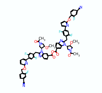 CO[C@H]1CN(C(C)=O)C[C@@H]1n1c(Cc2cc(F)c(-c3cccc(OCc4ccc(C#N)cc4F)n3)cc2F)nc2ccc(C(=O)OC(=O)c3ccc4nc(Cc5cc(F)c(-c6cccc(OCc7ccc(C#N)cc7F)n6)cc5F)n([C@H]5CN(C(C)=O)C[C@@H]5OC)c4c3)cc21